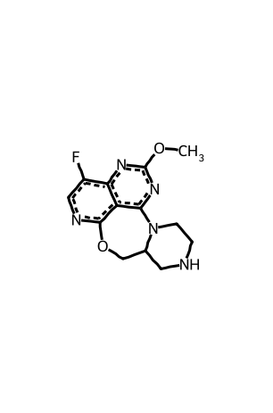 COc1nc2c3c(ncc(F)c3n1)OCC1CNCCN21